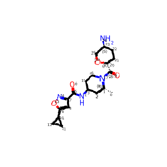 C[C@@H]1CC(NC(=O)c2cc(C3CC3)on2)CCN1C(=O)[C@H]1CC[C@H](N)CO1